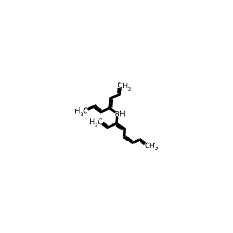 C=C/C=C\C=C(\BC(/C=C/C)=C\C=C)C=C